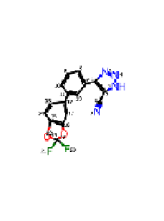 N#Cc1[nH]nnc1-c1cccc(-c2ccc3c(c2)OC(F)(F)O3)c1